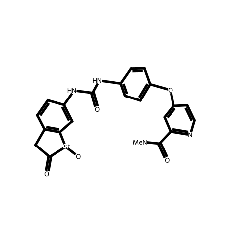 CNC(=O)c1cc(Oc2ccc(NC(=O)Nc3ccc4c(c3)[S+]([O-])C(=O)C4)cc2)ccn1